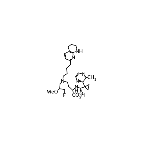 COC(CF)CN(CCCCc1ccc2c(n1)NCCC2)CCC(NC(=O)C1(c2nccnc2C)CC1)C(=O)O